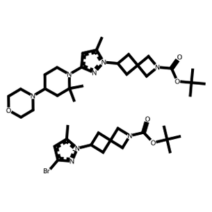 Cc1cc(Br)nn1C1CC2(C1)CN(C(=O)OC(C)(C)C)C2.Cc1cc(N2CCC(N3CCOCC3)CC2(C)C)nn1C1CC2(C1)CN(C(=O)OC(C)(C)C)C2